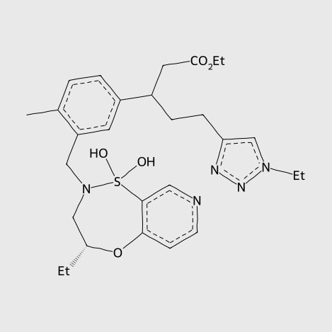 CCOC(=O)CC(CCc1cn(CC)nn1)c1ccc(C)c(CN2C[C@@H](CC)Oc3ccncc3S2(O)O)c1